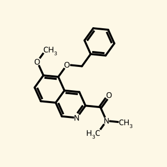 COc1ccc2cnc(C(=O)N(C)C)cc2c1OCc1ccccc1